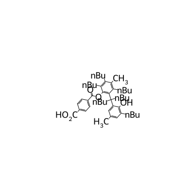 CCCCc1cc(C)cc(C(CCCC)(CCCC)c2c(CCCC)c(C)c(CCCC)c(CCCC)c2OC(=O)c2ccc(C(=O)O)cc2)c1O